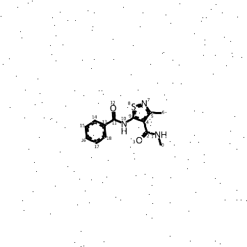 CNC(=O)c1c(C)nsc1NC(=O)c1ccccc1